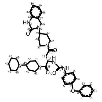 O=C(Nc1ccc(Oc2ccccc2)cc1)N[C@@H](CC(=O)N1CCC(N2Cc3ccccc3NC2=O)CC1)C(=O)N1CCC(N2CCCCC2)CC1